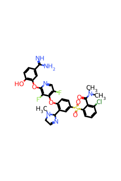 CN(C)C(=O)c1c(Cl)cccc1S(=O)(=O)c1ccc(Oc2c(F)cnc(Oc3cc(C(=N)N)ccc3O)c2F)c(C2N=CCN2C)c1